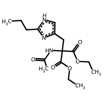 CCCc1nc(CC(NC(C)=O)(C(=O)OCC)C(=O)OCC)c[nH]1